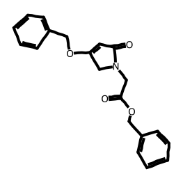 O=C(CN1CC(OCc2ccccc2)=CC1=O)OCc1ccccc1